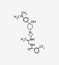 C=C(CNC(=O)c1cccc(C(F)(F)F)c1)NC1CN(C2CCC(O)(c3ccc(N(C)C)cc3)CC2)C1